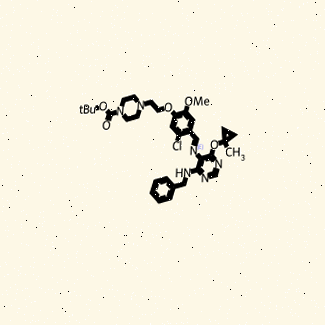 COc1cc(/C=N/c2c(NCc3ccccc3)ncnc2OC2(C)CC2)c(Cl)cc1OCCN1CCN(C(=O)OC(C)(C)C)CC1